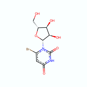 O=c1cc(Br)n([C@@H]2O[C@H](CO)[C@@H](O)[C@H]2O)c(=O)[nH]1